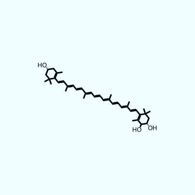 CC1=C(/C=C/C(C)=C/C=C/C(C)=C/C=C/C=C(C)/C=C/C=C(C)/C=C/C2=C(C)C(O)[C@@H](O)CC2(C)C)C(C)(C)C[C@H](O)C1